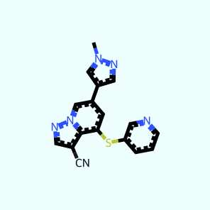 Cn1cc(-c2cc(Sc3cccnc3)c3c(C#N)cnn3c2)cn1